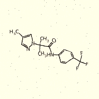 Cc1cnn(C(C)(C)C(=O)Nc2ccc(C(F)(F)F)cc2)c1